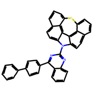 c1ccc(-c2ccc(-c3nc(-n4c5ccc6cccc7sc8cccc9ccc4c(c98)c5c67)nc4ccccc34)cc2)cc1